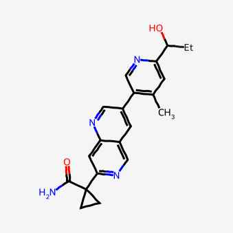 CCC(O)c1cc(C)c(-c2cnc3cc(C4(C(N)=O)CC4)ncc3c2)cn1